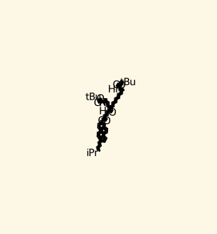 CC(C)CCCCC1CCC2C3CC=C4CC(OC(=O)CCCC(=O)N(CCCCCCCC(C)NC(=O)OC(C)(C)C)CCC(C)NC(=O)OC(C)(C)C)CCC4(C)C3CCC12C